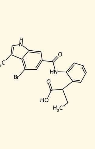 CCC(C(=O)O)c1ccccc1NC(=O)c1cc(Br)c2c(C)c[nH]c2c1